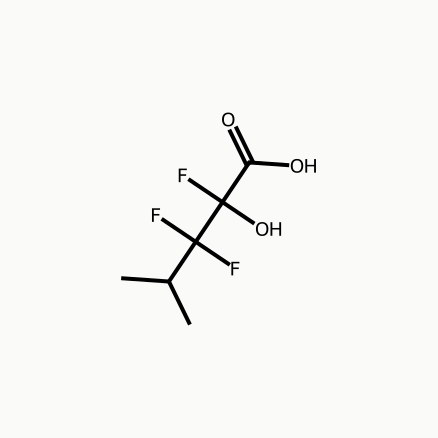 CC(C)C(F)(F)C(O)(F)C(=O)O